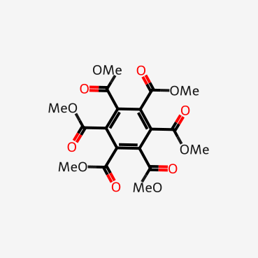 COC(=O)c1c(C(=O)OC)c(C(=O)OC)c(C(=O)OC)c(C(=O)OC)c1C(=O)OC